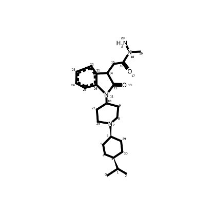 CC(C)[C@H]1CC[C@@H](N2CCC(N3C(=O)C(CC(=O)N(C)N)c4ccccc43)CC2)CC1